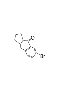 O=C1c2cc(Br)ccc2CC2CCCC12